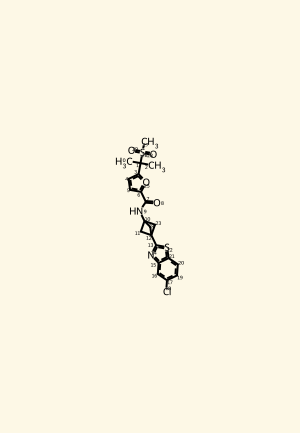 CC(C)(c1ccc(C(=O)NC23CC(c4nc5cc(Cl)ccc5s4)(C2)C3)o1)S(C)(=O)=O